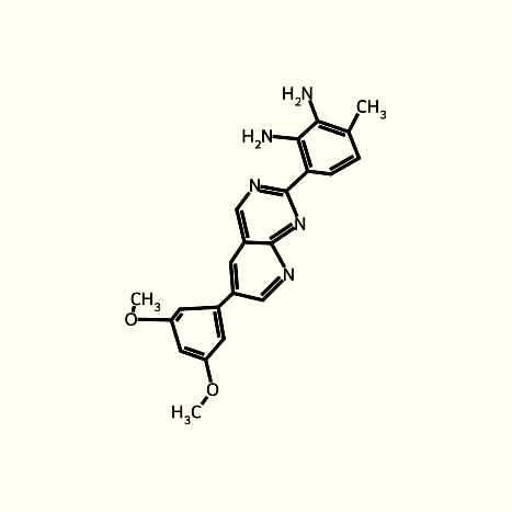 COc1cc(OC)cc(-c2cnc3nc(-c4ccc(C)c(N)c4N)ncc3c2)c1